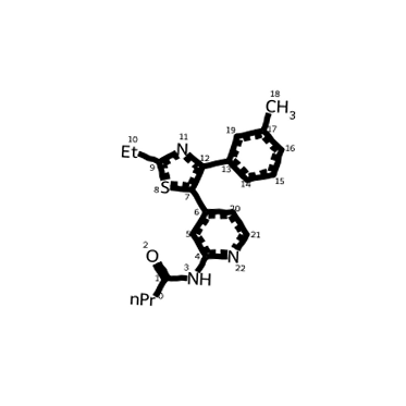 CCCC(=O)Nc1cc(-c2sc(CC)nc2-c2cccc(C)c2)ccn1